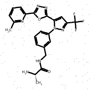 Cc1cccc(-c2nnc(-c3cc(C(F)(F)F)nn3-c3cccc(CNC(=O)[C@H](C)N)c3)o2)n1